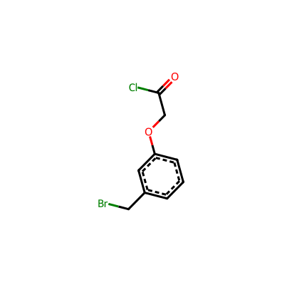 O=C(Cl)COc1cccc(CBr)c1